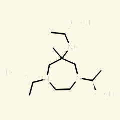 C[C@H](C(=O)O)N1CCN([C@@H](C)C(=O)O)CC(C)(N[C@H](C)C(=O)O)C1